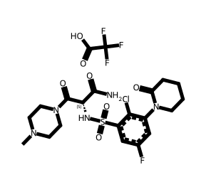 CN1CCN(C(=O)[C@@H](NS(=O)(=O)c2cc(F)cc(N3CCCCC3=O)c2Cl)C(N)=O)CC1.O=C(O)C(F)(F)F